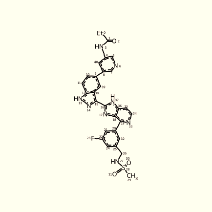 CCC(=O)Nc1cncc(-c2ccc3[nH]nc(-c4nc5c(-c6cc(F)cc(CNS(C)(=O)=O)c6)nccc5[nH]4)c3c2)c1